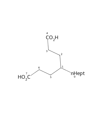 CCCCCCCC(CCC(=O)O)CCC(=O)O